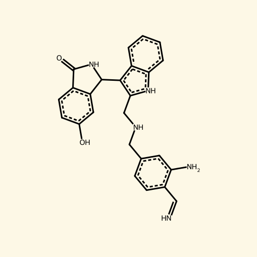 N=Cc1ccc(CNCc2[nH]c3ccccc3c2C2NC(=O)c3ccc(O)cc32)cc1N